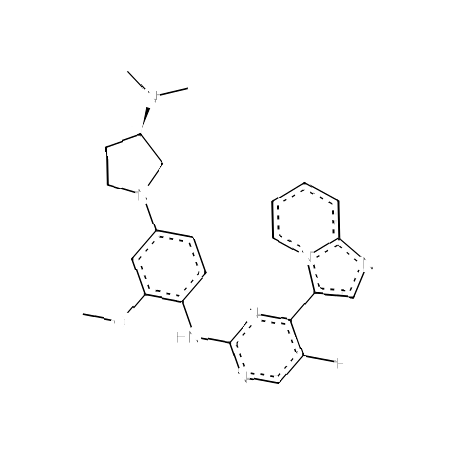 COc1cc(N2CC[C@@H](N(C)C)C2)ccc1Nc1ncc(F)c(-c2cnc3ccccn23)n1